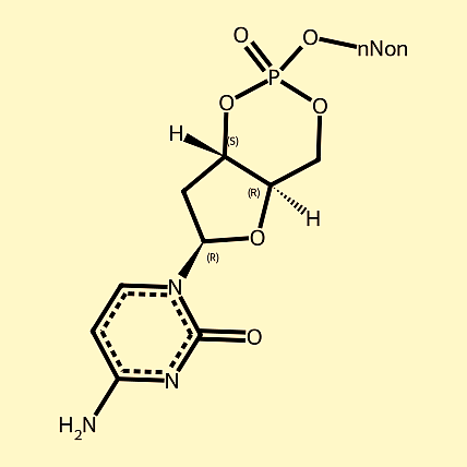 CCCCCCCCCOP1(=O)OC[C@H]2O[C@@H](n3ccc(N)nc3=O)C[C@@H]2O1